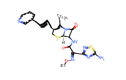 CCO/N=C(\C(=O)NC1C(=O)N2C(C(=O)O)=C(/C=C/c3cccnc3)CS[C@H]12)c1nsc(N)n1